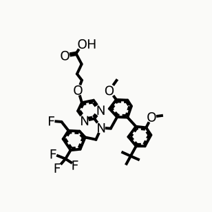 COc1ccc(-c2cc(C(C)(C)C)ccc2OC)c(CN(Cc2cc(CF)cc(C(F)(F)F)c2)c2ncc(OCCCC(=O)O)cn2)c1